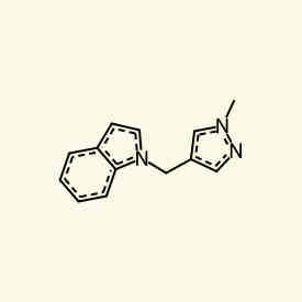 Cn1cc(Cn2ccc3ccccc32)cn1